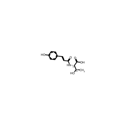 C[C@@H](O)[C@H](NC(=O)C=Cc1ccc(O)cc1)C(=O)O